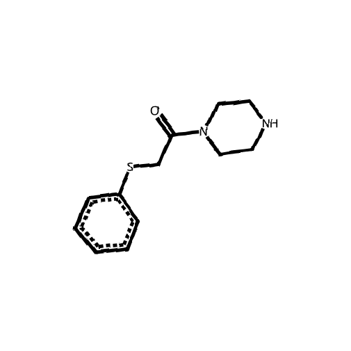 O=C(CSc1ccccc1)N1CCNCC1